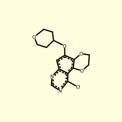 Clc1ncnc2cc(OC3CCOCC3)c3c(c12)OCCO3